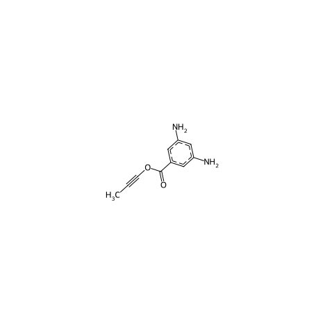 CC#COC(=O)c1cc(N)cc(N)c1